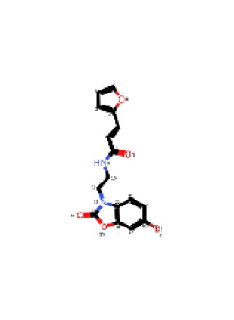 O=C(/C=C/c1ccco1)NCCn1c(=O)oc2cc(Br)ccc21